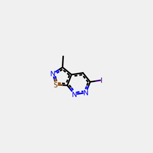 Cc1nsc2nnc(I)cc12